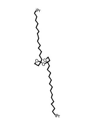 CC(C)CCCCCCCCCCCCCCC1(OC2(CCCCCCCCCCCCCCC(C)C)CCO2)CCO1